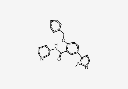 Cn1nccc1-c1ccc(OCc2ccccc2)c(C(=O)Nc2cccnc2)c1